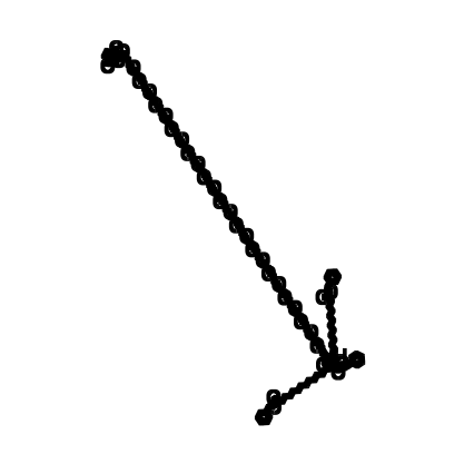 O=C(CCCCCCCCCCCCCC(CCCCCCCCCCCCCC(=O)OCc1ccccc1)(C(=O)NCCOCCOCCOCCOCCOCCOCCOCCOCCOCCOCCOCCOCCOCCOCCOCCOCCOCCOCCOCCOCCOCCOCCOCCOCCC(=O)ON1C(=O)CCC1=O)C(=O)OCc1ccccc1)OCc1ccccc1